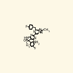 Cc1nc2c(Cc3ccc(F)cc3)nc(-c3nc(N)c4c(n3)NC(=O)C4(C)c3ccc(F)cc3)cn2n1